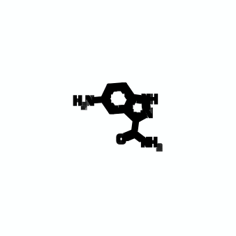 NC(=O)c1n[nH]c2ccc(N)cc12